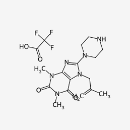 C=C(C)Cn1c(N2CCNCC2)nc2c1c(=O)n(C)c(=O)n2C.O=C(O)C(F)(F)F